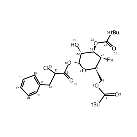 CC(C)(C)C(=O)OC[C@H]1O[C@H](OC(=O)C(Cl)Cc2ccccc2)[C@H](O)[C@@H](OC(=O)C(C)(C)C)[C@@H]1F